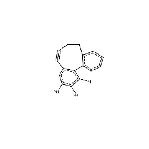 [2H]c1cc2c(c([2H])c1[2H])-c1ccccc1CCC#C2